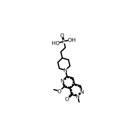 COc1nc(N2CCC(CCP(=O)(O)O)CC2)cc2cnn(C)c(=O)c12